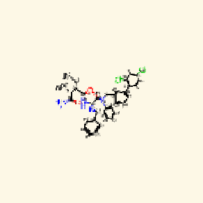 CCC[C@H](C(N)=O)[C@@H](CC(C)C)C(=O)NC1N=C(c2ccccc2)c2ccccc2N(Cc2cccc(-c3ccc(Cl)cc3Cl)c2)C1=O